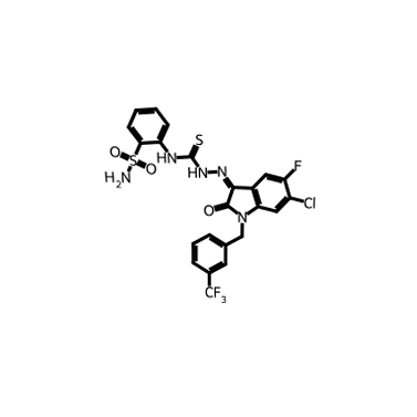 NS(=O)(=O)c1ccccc1NC(=S)NN=C1C(=O)N(Cc2cccc(C(F)(F)F)c2)c2cc(Cl)c(F)cc21